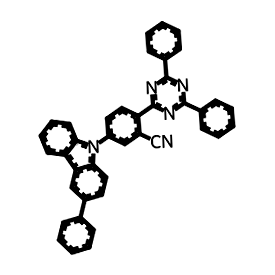 N#Cc1cc(-n2c3ccccc3c3cc(-c4ccccc4)ccc32)ccc1-c1nc(-c2ccccc2)nc(-c2ccccc2)n1